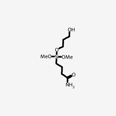 CO[Si](CCCC(N)=O)(OC)OCCCO